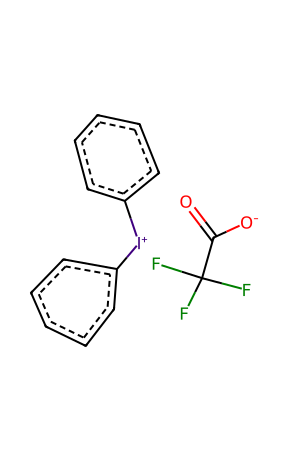 O=C([O-])C(F)(F)F.c1ccc([I+]c2ccccc2)cc1